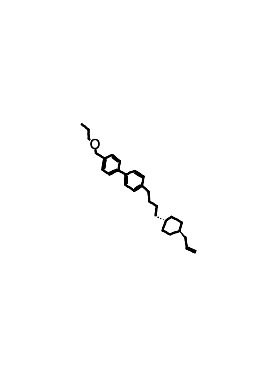 C=CC[C@H]1CC[C@H](CCCCc2ccc(-c3ccc(COCCC)cc3)cc2)CC1